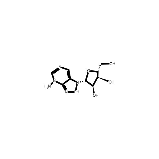 NN1C=NC=C2C1=NPN2[C@@H]1O[C@H](CO)[C@@H](O)[C@H]1O